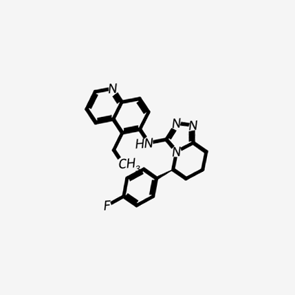 CCc1c(Nc2nnc3n2[C@H](c2ccc(F)cc2)CCC3)ccc2ncccc12